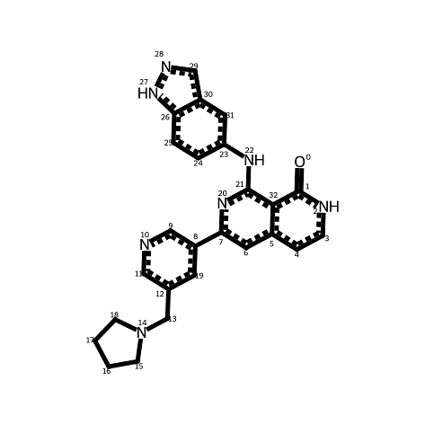 O=c1[nH]ccc2cc(-c3cncc(CN4CCCC4)c3)nc(Nc3ccc4[nH]ncc4c3)c12